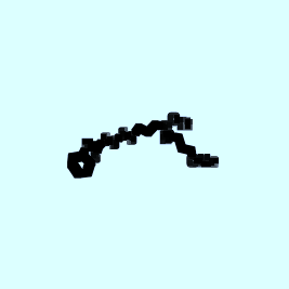 CCO[SiH](CCCSSSSc1nc2ccccc2s1)OCCCOC